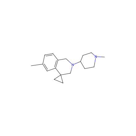 Cc1ccc2c(c1)C1(CC1)CN(C1CCN(C)CC1)C2